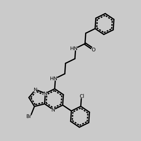 O=C(Cc1ccccc1)NCCCNc1cc(-c2ccccc2Cl)nc2c(Br)cnn12